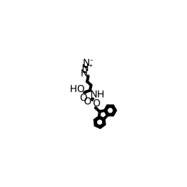 [N-]=[N+]=NCCCC(NC(=O)OCC1c2ccccc2-c2ccccc21)C(=O)O